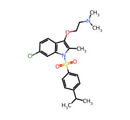 Cc1c(OCCN(C)C)c2ccc(Cl)cc2n1S(=O)(=O)c1ccc(C(C)C)cc1